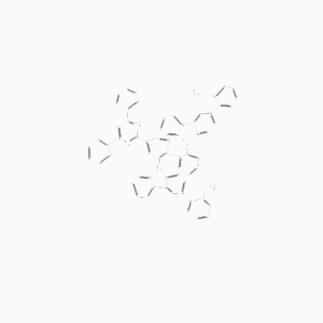 N#Cc1ccccc1-c1ccc2c(c1)c1ccccc1n2-c1ccccc1-c1ccc(-c2nc(-c3ccccc3)cc(-c3ccccc3)n2)cc1-n1c2ccccc2c2cc(-c3ccccc3C#N)ccc21